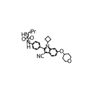 CC(C)NS(=O)(=O)Nc1ccc(-c2c(C#N)c3ccc(OC4CCOCC4)cc3n2C2CCC2)cc1